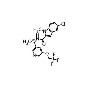 C[C@@H](NC(=O)c1cc2cc(Cl)ccc2n1C)c1cncc(OCC(F)(F)F)c1